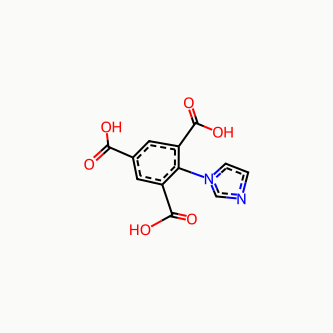 O=C(O)c1cc(C(=O)O)c(-n2ccnc2)c(C(=O)O)c1